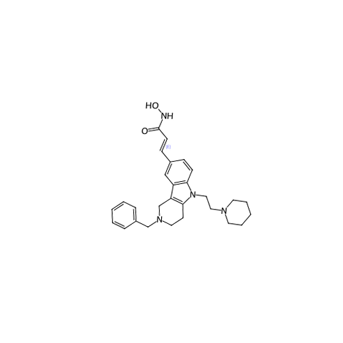 O=C(/C=C/c1ccc2c(c1)c1c(n2CCN2CCCCC2)CCN(Cc2ccccc2)C1)NO